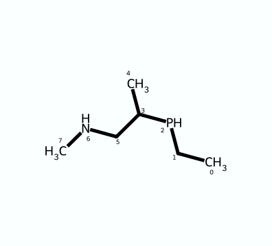 CCPC(C)CNC